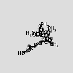 COc1ccc(C2(c3ccc(OC)cc3)C=Cc3c4c(c5ccc(C)cc5c3O2)-c2ccc(C)cc2C4(C)OCCOCCOCCOC(=O)OCCCO)cc1